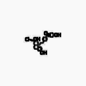 O=C(c1ccc(C=CCC23CCC(O)(C#CCl)CC2CCc2cc(O)ccc23)cc1)N1CCC(O)CC1